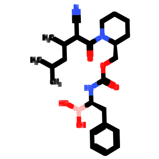 CC(C)CC(C)C(C#N)C(=O)N1CCCC[C@H]1COC(=O)N[C@@H](Cc1ccccc1)B(O)O